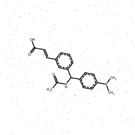 CC(=O)NC(c1ccc(N(C)C)cc1)c1cccc(/C=C/C(=O)O)c1